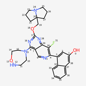 Oc1cc(-c2ncc3c(N4CCNOCC4)nc(OCC45CCCN4CCC5)nc3c2F)c2ccccc2c1